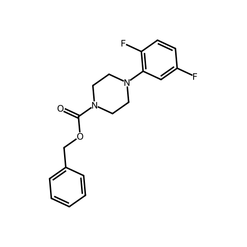 O=C(OCc1ccccc1)N1CCN(c2cc(F)ccc2F)CC1